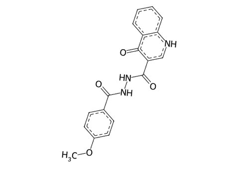 COc1ccc(C(=O)NNC(=O)c2c[nH]c3ccccc3c2=O)cc1